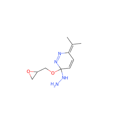 CC(C)=C1C=CC(NN)(OCC2CO2)N=N1